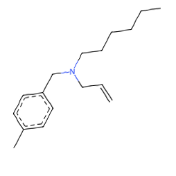 C=CCN(CCCCCC)Cc1ccc(C)cc1